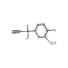 C#CC(C)(C)c1ccc(C)c(C(=O)O)c1